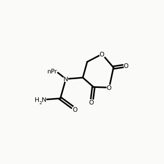 CCCN(C(N)=O)C1COC(=O)OC1=O